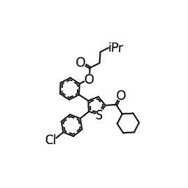 CC(C)CCC(=O)Oc1ccccc1-c1cc(C(=O)C2CCCCC2)sc1-c1ccc(Cl)cc1